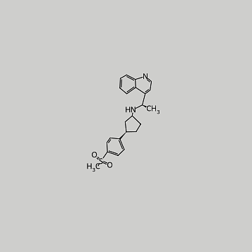 C[C@@H](NC1CC[C@@H](c2ccc(S(C)(=O)=O)cc2)C1)c1ccnc2ccccc12